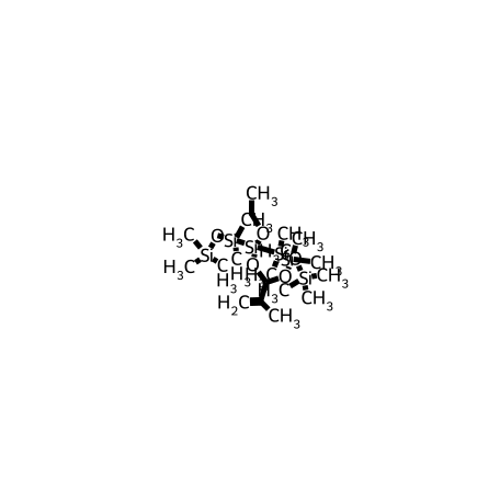 C=C(C)C(O[Si](C)(C)C)O[Si](OCC)([Si](C)(C)O[Si](C)(C)C)[Si](C)(C)O[Si](C)(C)C